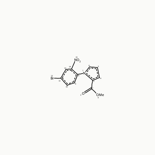 COC(=O)c1cccn1-c1ccc(Br)cc1[N+](=O)[O-]